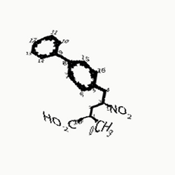 C[C@H](C[C@@H](Cc1ccc(-c2ccccc2)cc1)[N+](=O)[O-])C(=O)O